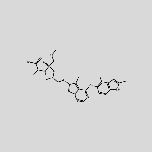 COCP(=O)(NC(C)C(=O)O)OC(C)COc1cn2ncnc(Oc3ccc4[nH]c(C)cc4c3F)c2c1C